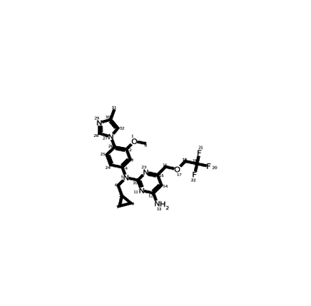 COc1cc(N(CC2CC2)c2nc(N)cc(COCC(F)(F)F)n2)ccc1-n1cnc(C)c1